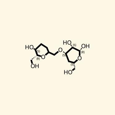 OC[C@@H]1C[C@H](OCC2CC[C@H](O)[C@@H](CO)O2)[C@H](O)[C@H](O)O1